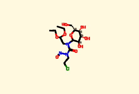 CCOC(CN(C(=O)N(CCCl)N=O)C1O[C@H](CO)[C@H](O)[C@H](O)[C@H]1O)OCC